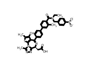 CCN(Cc1ccc([S+]([O-])Cl)cc1)C(=O)c1ccc(-c2ccc(C3=N[C@@H](CC(=O)O)c4nnc(C)n4-c4sc(C)c(C)c43)cc2)cc1C